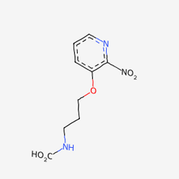 O=C(O)NCCCOc1cccnc1[N+](=O)[O-]